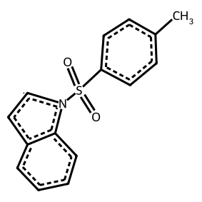 Cc1ccc(S(=O)(=O)n2[c]cc3ccccc32)cc1